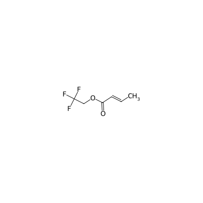 CC=CC(=O)OCC(F)(F)F